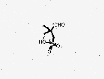 CC(C)(C=O)CS(=O)(=O)O